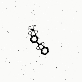 FC1(F)Oc2ccc(C3Oc4ccccc4O3)cc2O1